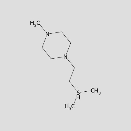 CN1CCN(CC[SH](C)C)CC1